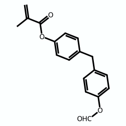 C=C(C)C(=O)Oc1ccc(Cc2ccc(OC=O)cc2)cc1